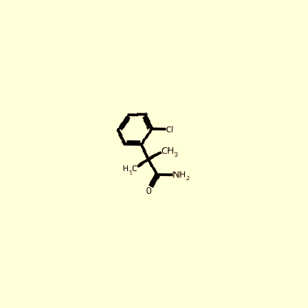 CC(C)(C(N)=O)c1ccccc1Cl